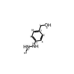 OCc1ccc(NNI)cc1